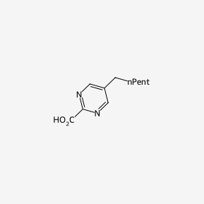 CCCCCCc1cnc(C(=O)O)nc1